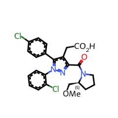 COC[C@@H]1CCCN1C(=O)c1nn(-c2ccccc2Cl)c(-c2ccc(Cl)cc2)c1CC(=O)O